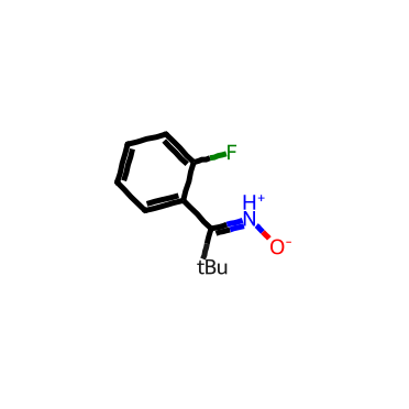 CC(C)(C)C(=[NH+][O-])c1ccccc1F